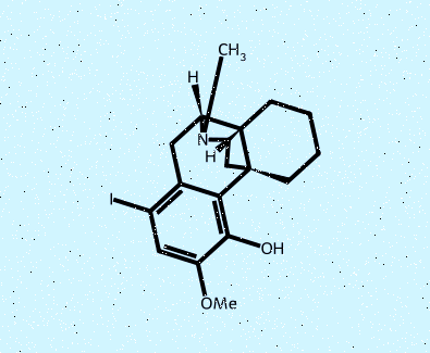 COc1cc(I)c2c(c1O)[C@@]13CCCC[C@H]1[C@@H](C2)N(C)CC3